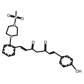 CS(=O)(=O)N1CCN(c2ccccc2C=CC(=O)CC(=O)C=Cc2ccc(O)cc2)CC1